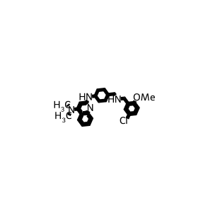 COc1ccc(Cl)cc1CNCC1CCC(Nc2cc(N(C)C)c3ccccc3n2)CC1